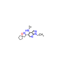 CCn1ncc2c(NC3CC3)c(C3=NOC4(CCCC4)C3)cnc21